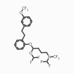 FC(F)OC(CCCN(C(F)F)C(F)(F)F)Oc1ccccc1CCc1cccc(OC(F)(F)F)c1